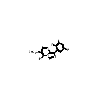 CCOC(=O)c1cnc2c(-c3cc(F)cc(F)c3F)ncn2c1C(C)C